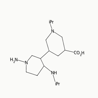 CC(C)NC1CCN(N)CC1C1CC(C(=O)O)CN(C(C)C)C1